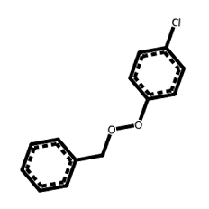 Clc1ccc(OOCc2ccccc2)cc1